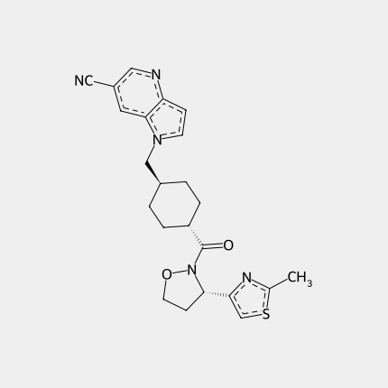 Cc1nc([C@@H]2CCON2C(=O)[C@H]2CC[C@H](Cn3ccc4ncc(C#N)cc43)CC2)cs1